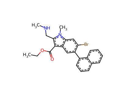 CCOC(=O)c1c(CNC)n(C)c2cc(Br)c(-c3cccc4ccccc34)cc12